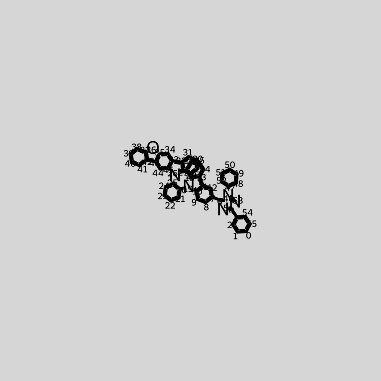 c1ccc(-c2nc(-c3ccc4c(c3)c3ccccc3n4-c3ccccc3-n3c4ccccc4c4cc5oc6ccccc6c5cc43)n(-c3ccccc3)n2)cc1